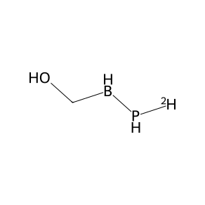 [2H]PBCO